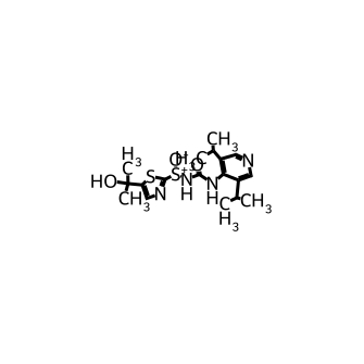 CC(C)c1cncc(C(C)C)c1NC(=O)N[S+]([O-])c1ncc(C(C)(C)O)s1